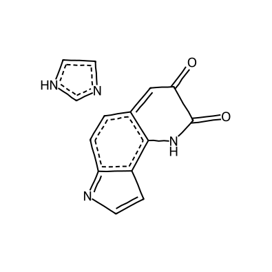 O=C1C=c2ccc3c(c2NC1=O)C=CN=3.c1c[nH]cn1